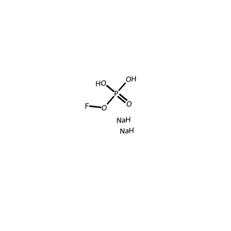 O=P(O)(O)OF.[NaH].[NaH]